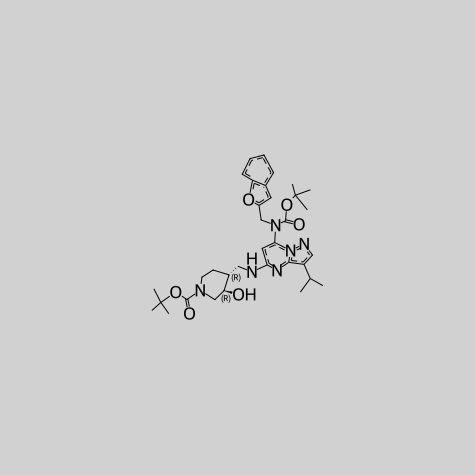 CC(C)c1cnn2c(N(Cc3cc4ccccc4o3)C(=O)OC(C)(C)C)cc(NC[C@H]3CCN(C(=O)OC(C)(C)C)C[C@@H]3O)nc12